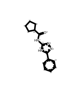 O=C(Nc1nnc(-c2ccccc2)[nH]1)C1CCCC1